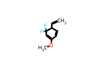 C=CC1C=CC(OC)=CC1(F)F